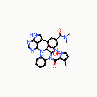 Cc1ccn2nc(C(C)Nc3ncnc4[nH]cc(-c5cc(O)cc(C(=O)N(C)C)c5)c34)n(-c3ccccc3)c(=O)c12